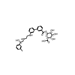 O=C(O[C@@H]1O[C@H](C(=O)O)[C@@H](O)[C@H](O)[C@H]1O)c1cccc(-c2cccc(NCCNC[C@H](O)c3cccc(I)c3)c2)c1